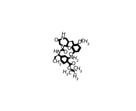 CC[C@@H](NC(=O)N1CC(=O)NC[C@@H](Cc2cc(Cl)ccc2OC)C1=O)c1ccc(C(=O)OC(C)(C)C)c(N)c1